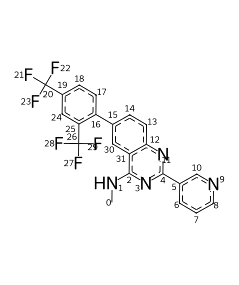 CNc1nc(-c2cccnc2)nc2ccc(-c3ccc(C(F)(F)F)cc3C(F)(F)F)cc12